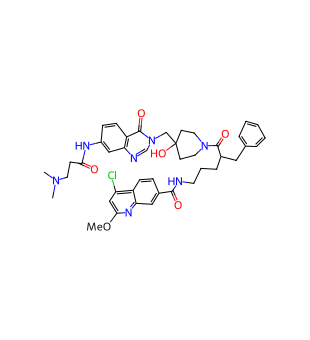 COc1cc(Cl)c2ccc(C(=O)NCCCC(Cc3ccccc3)C(=O)N3CCC(O)(Cn4cnc5cc(NC(=O)CCN(C)C)ccc5c4=O)CC3)cc2n1